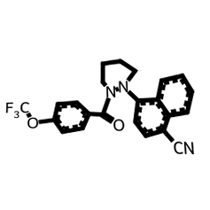 N#Cc1ccc(N2CCCCN2C(=O)c2ccc(OC(F)(F)F)cc2)c2ccccc12